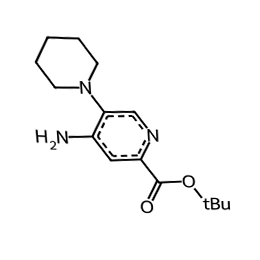 CC(C)(C)OC(=O)c1cc(N)c(N2CCCCC2)cn1